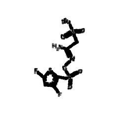 CC(C)(C)S(=O)(=O)CC(N)=NOS(=O)(=O)c1sc(F)cc1F